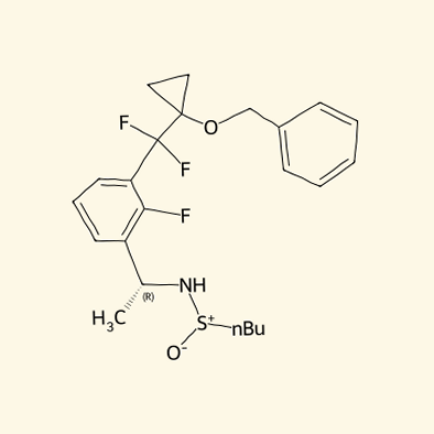 CCCC[S+]([O-])N[C@H](C)c1cccc(C(F)(F)C2(OCc3ccccc3)CC2)c1F